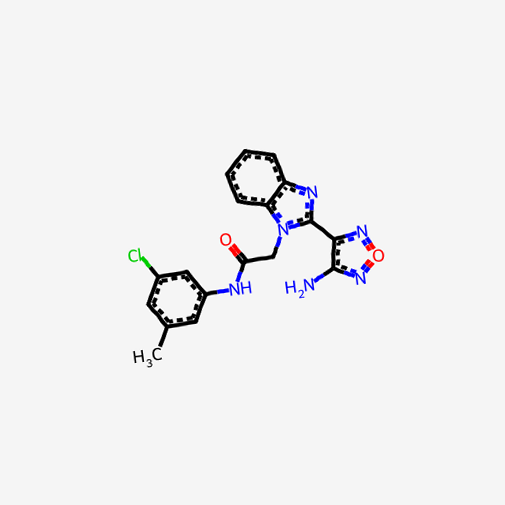 Cc1cc(Cl)cc(NC(=O)Cn2c(-c3nonc3N)nc3ccccc32)c1